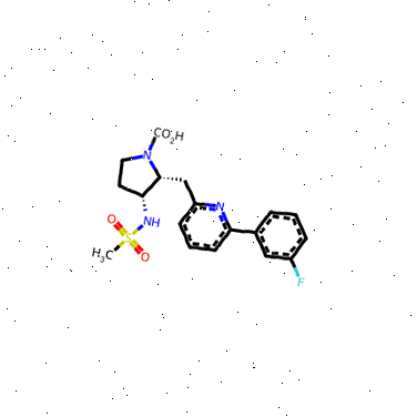 CS(=O)(=O)N[C@@H]1CCN(C(=O)O)[C@@H]1Cc1cccc(-c2cccc(F)c2)n1